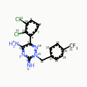 N=c1nc(N)c(-c2cccc(Cl)c2Cl)nn1Cc1ccc(C(F)(F)F)cc1